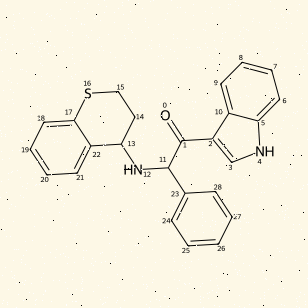 O=C(c1c[nH]c2ccccc12)C(NC1CCSc2ccccc21)c1ccccc1